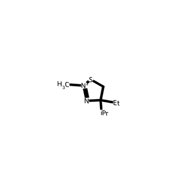 CCC1(C(C)C)CS[N+](C)=N1